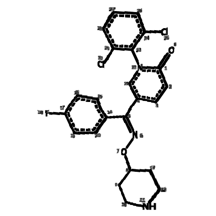 O=c1ccc(C(=NOC2CCNCC2)c2ccc(F)cc2)cn1-c1c(Cl)cccc1Cl